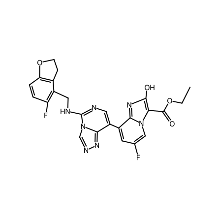 CCOC(=O)c1c(O)nc2c(-c3cnc(NCc4c(F)ccc5c4CCO5)n4cnnc34)cc(F)cn12